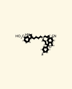 C=CCN(CCCCc1c[nH]c2c(C(=O)O)cccc12)CCCC1(c2ccc(F)cc2)OCc2cc(C#N)ccc21